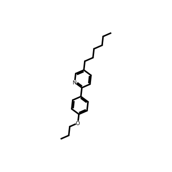 CCCCCCc1ccc(-c2ccc(OCCC)cc2)nc1